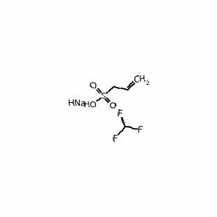 C=CCS(=O)(=O)O.FC(F)F.[NaH]